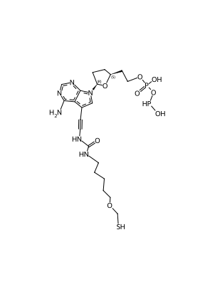 Nc1ncnc2c1c(C#CNC(=O)NCCCCCOCS)cn2[C@H]1CC[C@@H](CCOP(=O)(O)OPO)O1